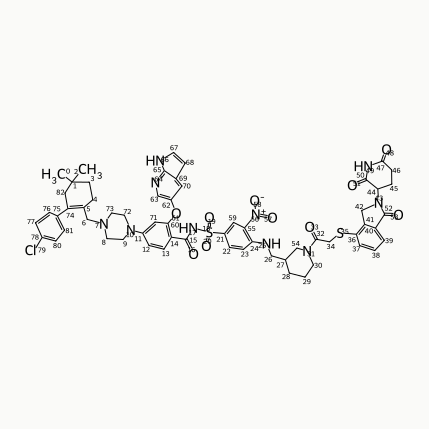 CC1(C)CCC(CN2CCN(c3ccc(C(=O)NS(=O)(=O)c4ccc(NCC5CCCN(C(=O)CSc6cccc7c6CN(C6CCC(=O)NC6=O)C7=O)C5)c([N+](=O)[O-])c4)c(Oc4cnc5[nH]ccc5c4)c3)CC2)=C(c2ccc(Cl)cc2)C1